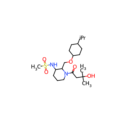 CC(C)C1CCC(OCC2C(NS(C)(=O)=O)CCCN2C(=O)CC(C)(C)O)CC1